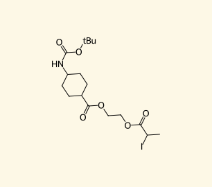 CC(I)C(=O)OCCOC(=O)C1CCC(NC(=O)OC(C)(C)C)CC1